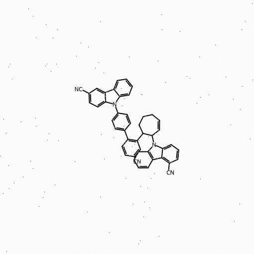 N#Cc1ccc(-c2ccc(-n3c4ccccc4c4cc(C#N)ccc43)cc2)c(C2CCCC=CC2n2c3c(c4c(C#N)cccc42)C=CCC3)c1